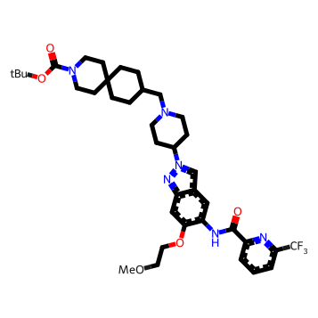 COCCOc1cc2nn(C3CCN(CC4CCC5(CC4)CCN(C(=O)OC(C)(C)C)CC5)CC3)cc2cc1NC(=O)c1cccc(C(F)(F)F)n1